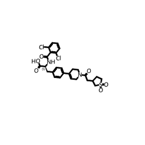 O=C(N[C@@H](Cc1ccc(C2=CCN(C(=O)CC3CCS(=O)(=O)C3)CC2)cc1)C(=O)O)c1c(Cl)cccc1Cl